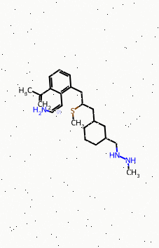 C=C(C)c1cccc(CC(CC2CCCC(CNNC)C2)SC)c1/C=C\N